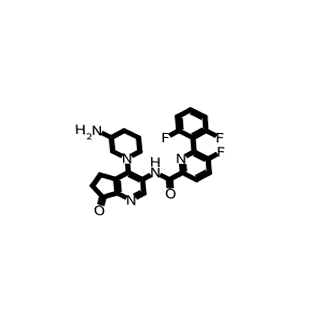 NC1CCCN(c2c(NC(=O)c3ccc(F)c(-c4c(F)cccc4F)n3)cnc3c2CCC3=O)C1